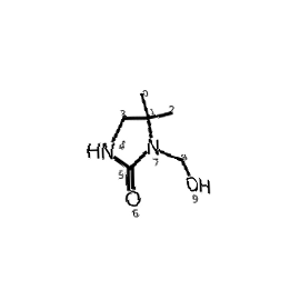 CC1(C)CNC(=O)N1CO